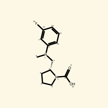 CN(C[C@H]1CCCN1C(=O)O)c1cccc(F)c1